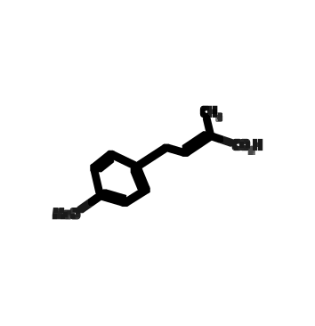 COc1ccc(CC=C(C)C(=O)O)cc1